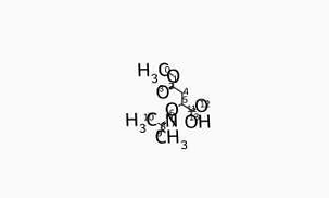 COC(=O)CC(ON=C(C)C)C(=O)O